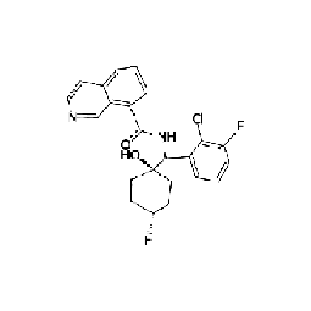 O=C(NC(c1cccc(F)c1Cl)[C@]1(O)CC[C@H](F)CC1)c1cccc2ccncc12